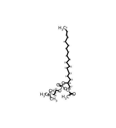 CCCCCCCCCCCCCCCCC(COC(C)=O)OP(=O)([O-])OCC[N+](C)(C)C